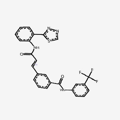 O=C(/C=C/c1cccc(C(=O)Nc2cccc(C(F)(F)F)c2)c1)Nc1ccccc1-c1nncs1